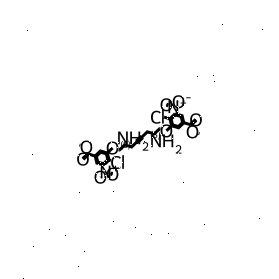 COC(=O)c1cc(OC[C@@H](N)CC#CC[C@H](N)COc2cc(C(=O)OC)cc([N+](=O)[O-])c2Cl)c(Cl)c([N+](=O)[O-])c1